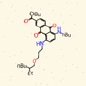 CCCCNc1ccc(NCCCOCC(CC)CCCC)c2c1C(=O)c1ccc(C(=O)OCC(C)C)cc1C2=O